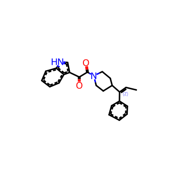 C/C=C(\c1ccccc1)C1CCN(C(=O)C(=O)c2c[nH]c3ccccc23)CC1